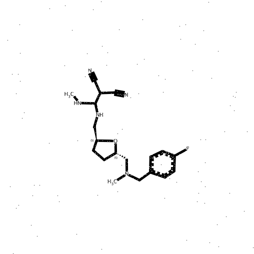 CNC(NC[C@@H]1CC[C@@H](CN(C)Cc2ccc(F)cc2)O1)C(C#N)C#N